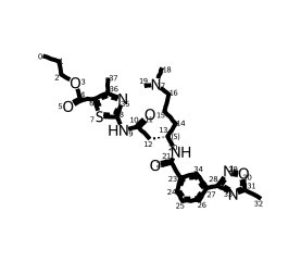 CCCOC(=O)c1sc(NC(=O)C[C@H](CCCN(C)C)NC(=O)c2cccc(-c3noc(C)n3)c2)nc1C